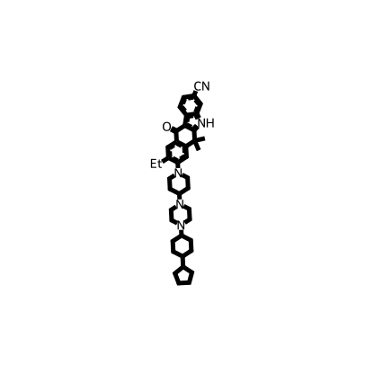 CCc1cc2c(cc1N1CCC(N3CCN(C4CCC(C5CCCC5)CC4)CC3)CC1)C(C)(C)c1[nH]c3cc(C#N)ccc3c1C2=O